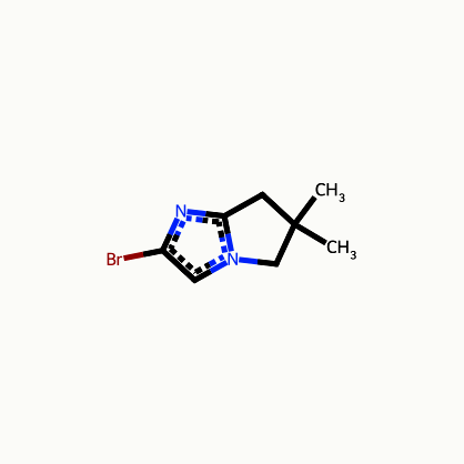 CC1(C)Cc2nc(Br)cn2C1